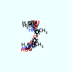 Cc1cc(COc2ccc(C3(C)CCN(C(C)C(=O)NO)C3=O)cc2)cc(NC(=O)CN(C(=O)O)C(C)(C)C)c1